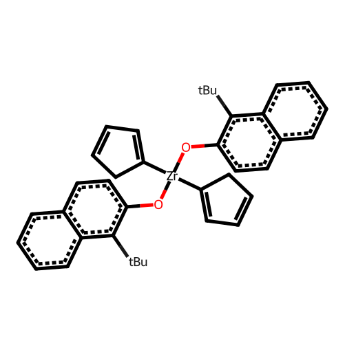 CC(C)(C)c1c([O][Zr]([O]c2ccc3ccccc3c2C(C)(C)C)([C]2=CC=CC2)[C]2=CC=CC2)ccc2ccccc12